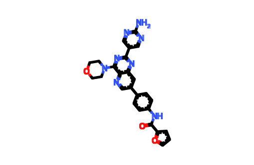 Nc1ncc(-c2nc(N3CCOCC3)c3ncc(-c4ccc(NC(=O)c5ccco5)cc4)cc3n2)cn1